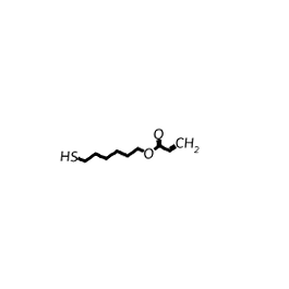 C=CC(=O)OCCCCCCS